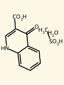 CS(=O)(=O)O.O.O=C(O)c1c[nH]c2ccccc2c1=O